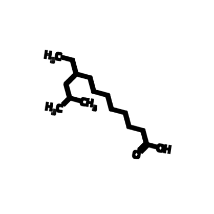 CCC(CCCCCCCC(=O)O)CC(C)C